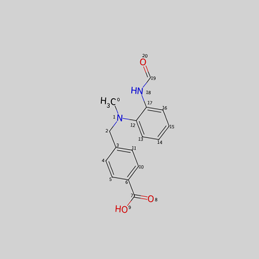 CN(Cc1ccc(C(=O)O)cc1)c1ccccc1NC=O